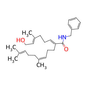 CC(C)=CCCC(C)=CCCC(=CCCC(C)=CCO)C(=O)NCc1ccccc1